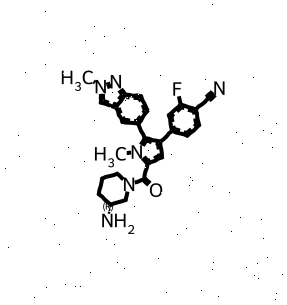 Cn1cc2cc(-c3c(-c4ccc(C#N)c(F)c4)cc(C(=O)N4CCC[C@@H](N)C4)n3C)ccc2n1